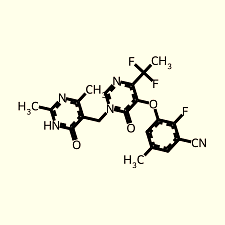 Cc1cc(C#N)c(F)c(Oc2c(C(C)(F)F)ncn(Cc3c(C)nc(C)[nH]c3=O)c2=O)c1